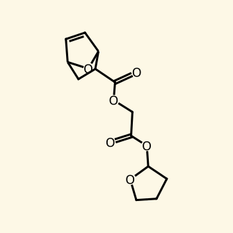 O=C(COC(=O)C1CC2C=CC1O2)OC1CCCO1